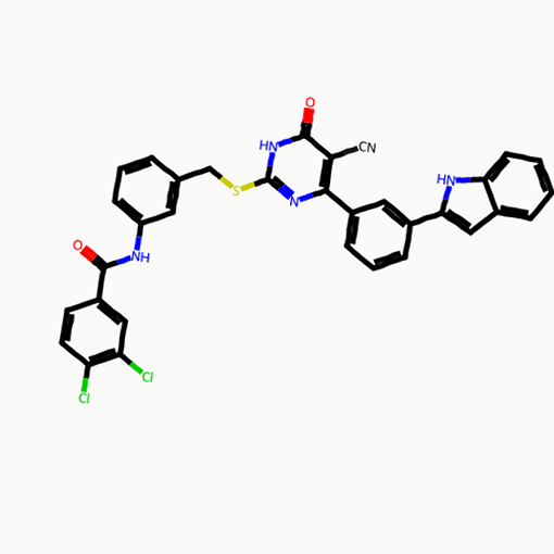 N#Cc1c(-c2cccc(-c3cc4ccccc4[nH]3)c2)nc(SCc2cccc(NC(=O)c3ccc(Cl)c(Cl)c3)c2)[nH]c1=O